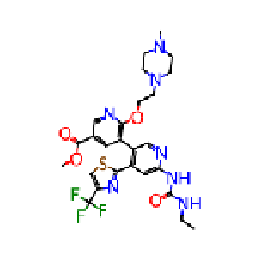 CCNC(=O)Nc1cc(-c2nc(C(F)(F)F)cs2)c(-c2cc(C(=O)OC)cnc2OCCN2CCN(C)CC2)cn1